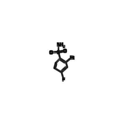 CCc1cc(F)ccc1S(N)(=O)=O